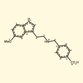 COc1ccc2[nH]cc(CCNCc3ccc(C(=O)O)cc3)c2c1